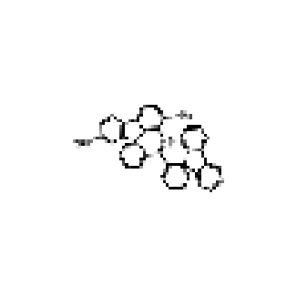 CC(C)(C)c1ccc2c(c1)Cc1c-2ccc(C(C)(C)C)[c]1[Hf](=[C](c1ccccc1)c1ccccc1)[c]1cccc2c1Cc1ccccc1-2